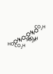 O=C(O)c1cccc(N=Nc2ccc(-c3ccc(N=Nc4ccc(O)c(C(=O)O)c4)cc3S(=O)(=O)O)c(S(=O)(=O)O)c2)c1